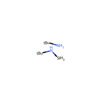 CC(C)(C)N.CC(C)(C)N[SiH3]